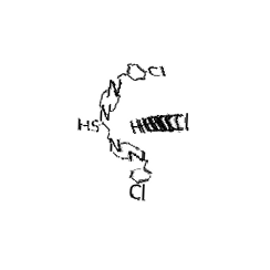 Cl.Cl.Cl.Cl.SC(CCN1CCN(Cc2ccc(Cl)cc2)CC1)N1CCN(Cc2ccc(Cl)cc2)CC1